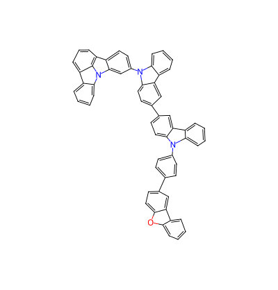 c1ccc2c(c1)oc1ccc(-c3ccc(-n4c5ccccc5c5cc(-c6ccc7c(c6)c6ccccc6n7-c6ccc7c8cccc9c%10ccccc%10n(c7c6)c98)ccc54)cc3)cc12